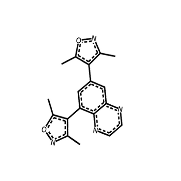 Cc1noc(C)c1-c1cc(-c2c(C)noc2C)c2nccnc2c1